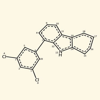 Clc1cc(Cl)cc(-c2cccc3c2[nH]c2ccccc23)c1